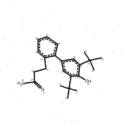 CC(C)(C)c1cc(-c2ccccc2CCC(N)=O)cc(C(C)(C)C)c1O